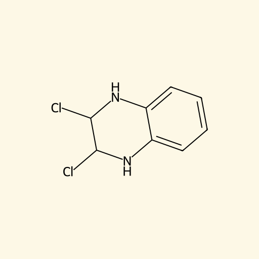 ClC1Nc2ccccc2NC1Cl